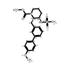 COC(=O)N1CCC[C@@H](NS(C)(=O)=O)[C@H]1Cc1cccc(-c2ccc(OC)cc2)c1